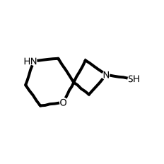 SN1CC2(CNCCO2)C1